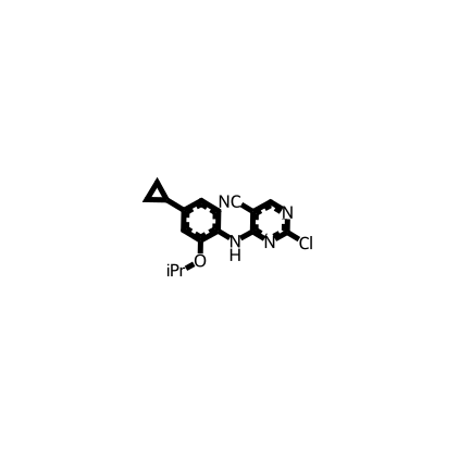 CC(C)Oc1cc(C2CC2)ccc1Nc1nc(Cl)ncc1C#N